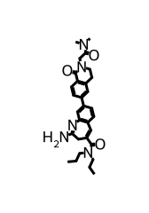 CCCN(CCC)C(=O)C1=Cc2ccc(-c3ccc4c(c3)CCN(CC(=O)N(C)C)C4=O)cc2N=C(N)C1